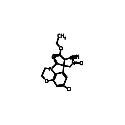 CCOC(=O)C(C#N)C1(C[N+](=O)[O-])C(=O)N2CCOc3cc(Cl)cc1c32